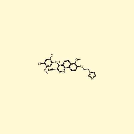 COc1cc(Nc2c(C#N)cnc3c2ccc2c(OC)c(OCCn4ccnn4)ccc23)c(Cl)cc1Cl